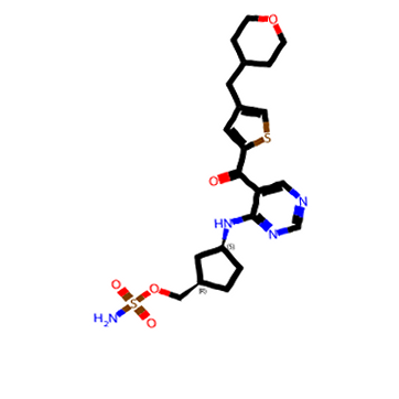 NS(=O)(=O)OC[C@@H]1CC[C@H](Nc2ncncc2C(=O)c2cc(CC3CCOCC3)cs2)C1